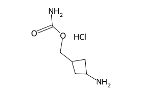 Cl.NC(=O)OCC1CC(N)C1